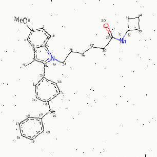 COc1ccc2c(c1)c(C)c(-c1ccc([Se]c3ccccc3)cc1)n2CCCCCC(=O)NC1CCC1